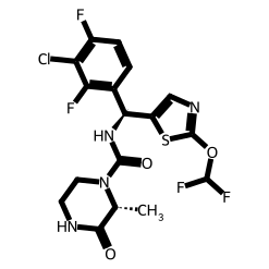 C[C@@H]1C(=O)NCCN1C(=O)N[C@H](c1cnc(OC(F)F)s1)c1ccc(F)c(Cl)c1F